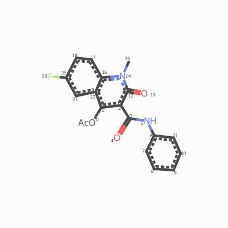 CC(=O)Oc1c(C(=O)Nc2ccccc2)c(=O)n(C)c2ccc(F)cc12